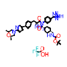 CC1CN(c2ccc(-c3ccc(C[C@H](N)C(=O)N(c4ccc(-c5nn[nH]n5)cc4)C(=O)[C@H]4CC[C@H](CNC(=O)OC(C)(C)C)CC4)cc3)cn2)CC(C)O1.O=C(O)C(F)(F)F